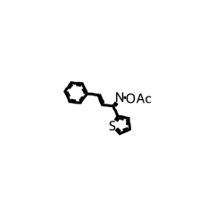 CC(=O)ON=C(C=Cc1ccccc1)c1cccs1